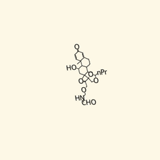 CCCC1OCC(C(=O)COCNC=O)(C2(C)CC(O)C3C(CCC4=CC(=O)C=CC43C)C2C)O1